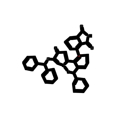 O=C1NC(=O)c2c(OCc3cc(=O)c(OC(c4ccccc4)c4ccccc4)cn3OC(c3ccccc3)c3ccccc3)cccc21